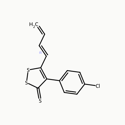 C=C/C=C/c1ssc(=S)c1-c1ccc(Cl)cc1